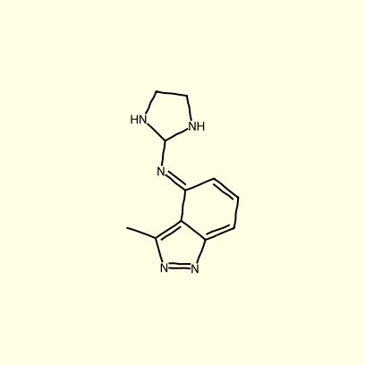 CC1=C2C(=CC=CC2=NC2NCCN2)N=N1